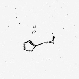 C[N]=[V+2][C]1=CC=CC1.[Cl-].[Cl-]